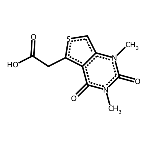 Cn1c(=O)c2c(CC(=O)O)scc2n(C)c1=O